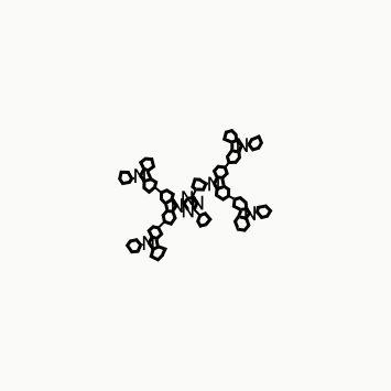 c1ccc(-c2nc(-c3cccc(-n4c5ccc(-c6ccc7c(c6)c6ccccc6n7-c6ccccc6)cc5c5cc(-c6ccc7c(c6)c6ccccc6n7-c6ccccc6)ccc54)c3)nc(-n3c4ccc(-c5ccc6c(c5)c5ccccc5n6-c5ccccc5)cc4c4cc(-c5ccc6c(c5)c5ccccc5n6-c5ccccc5)ccc43)n2)cc1